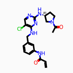 C=CC(=O)Nc1cccc(CNc2nc(N[C@@H]3CCN(C(C)=O)C3)ncc2Cl)c1